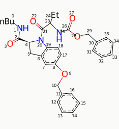 CCCCNC(=O)[C@@H]1Cc2cc(OCc3ccccc3)ccc2N1C(=O)C(CC)NC(=O)OCc1ccccc1